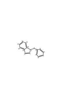 C1=CC(Cc2ccccc2)c2ccccc21